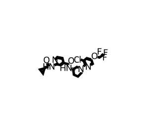 O=C(N[C@@H]1CCCN(c2ncc(OCC(F)(F)F)cc2Cl)C1)c1ccnc(NC(=O)C2CC2)c1